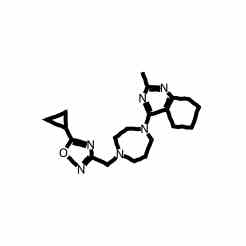 Cc1nc2c(c(N3CCCN(Cc4noc(C5CC5)n4)CC3)n1)CCCC2